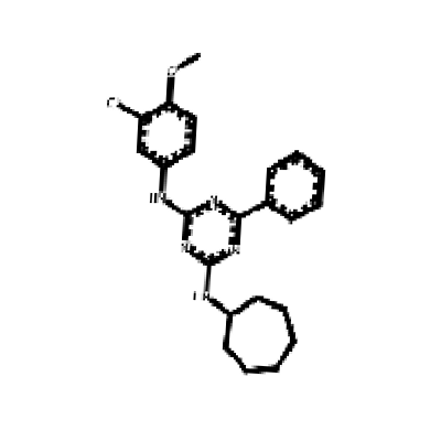 COc1ccc(Nc2nc(NC3CCCCCC3)nc(-c3ccccc3)n2)cc1Cl